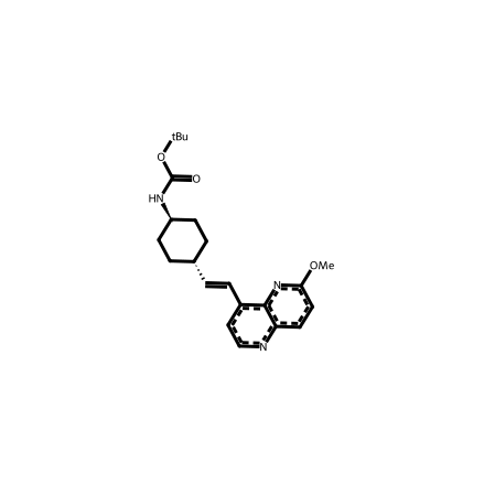 COc1ccc2nccc(C=C[C@H]3CC[C@H](NC(=O)OC(C)(C)C)CC3)c2n1